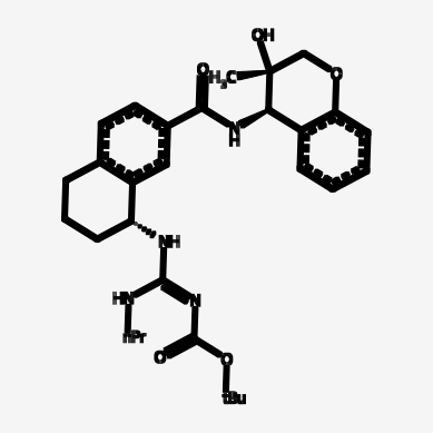 CCCN/C(=N\C(=O)OC(C)(C)C)N[C@@H]1CCCc2ccc(C(=O)N[C@@H]3c4ccccc4OC[C@@]3(C)O)cc21